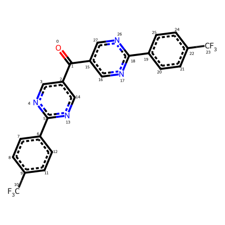 O=C(c1cnc(-c2ccc(C(F)(F)F)cc2)nc1)c1cnc(-c2ccc(C(F)(F)F)cc2)nc1